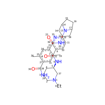 CCN1CCC[C@@H](NC(=O)c2ccc(N3C4CCC3CC(NC(=O)c3cc(C)c(C(N)=O)cc3C)C4)nc2)C1